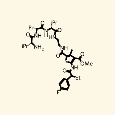 CCC(C(=O)Nc1sc(C(=O)NCCNC(=O)[C@H](NC(=O)[C@H](NC(=O)[C@H](N)C(C)C)C(C)C)C(C)C)c(C)c1C(=O)OC)c1ccc(F)cc1